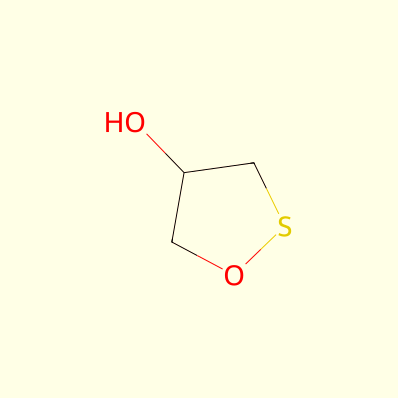 OC1COSC1